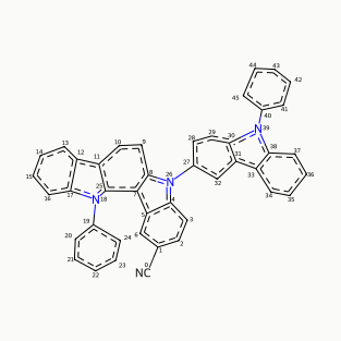 N#Cc1ccc2c(c1)c1c(ccc3c4ccccc4n(-c4ccccc4)c31)n2-c1ccc2c(c1)c1ccccc1n2-c1ccccc1